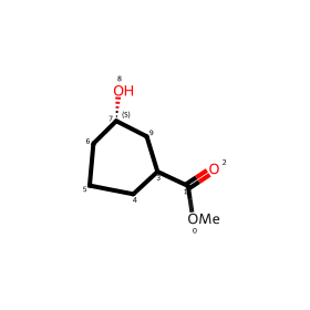 COC(=O)C1CCC[C@H](O)C1